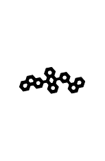 c1cc(-c2cccc3ccccc23)cc(-c2c3ccccc3c(-c3ccc4c(ccc5ccccc54)c3)c3ccccc23)c1